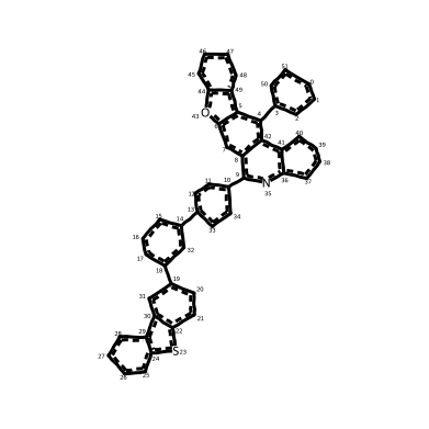 c1ccc(-c2c3c(cc4c(-c5ccc(-c6cccc(-c7ccc8sc9ccccc9c8c7)c6)cc5)nc5ccccc5c24)oc2ccccc23)cc1